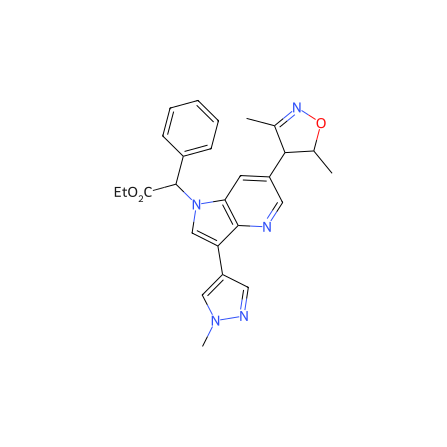 CCOC(=O)C(c1ccccc1)n1cc(-c2cnn(C)c2)c2ncc(C3C(C)=NOC3C)cc21